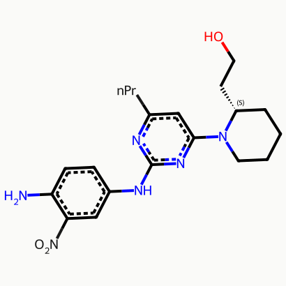 CCCc1cc(N2CCCC[C@H]2CCO)nc(Nc2ccc(N)c([N+](=O)[O-])c2)n1